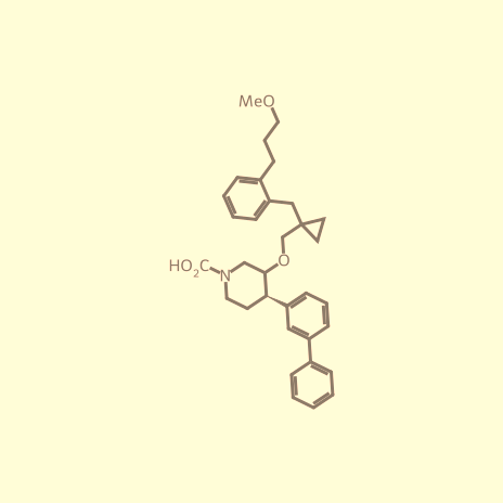 COCCCc1ccccc1CC1(COC2CN(C(=O)O)CC[C@@H]2c2cccc(-c3ccccc3)c2)CC1